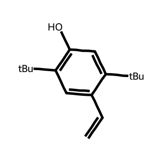 C=Cc1cc(C(C)(C)C)c(O)cc1C(C)(C)C